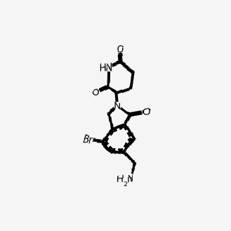 NCc1cc(Br)c2c(c1)C(=O)N(C1CCC(=O)NC1=O)C2